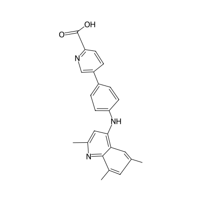 Cc1cc(C)c2nc(C)cc(Nc3ccc(-c4ccc(C(=O)O)nc4)cc3)c2c1